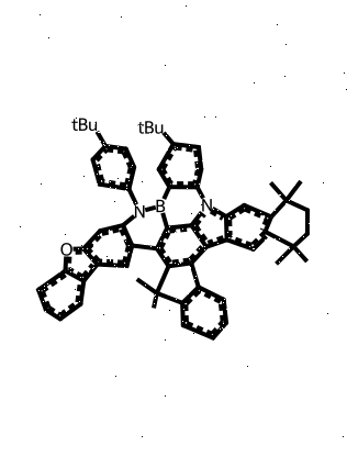 CC(C)(C)c1ccc(N2B3c4cc(C(C)(C)C)ccc4-n4c5cc6c(cc5c5c7c(c(c3c54)-c3cc4c(cc32)oc2ccccc24)C(C)(C)c2ccccc2-7)C(C)(C)CCC6(C)C)cc1